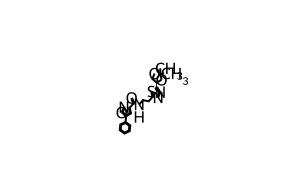 CC1(C)OC[C@H](c2nnc(CCNC(=O)c3cc(-c4ccccc4)on3)s2)O1